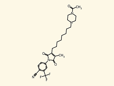 CC(=O)N1CCN(CCCCCCCCC2=C(C)C(=O)N(c3ccc(C#N)c(C(F)(F)F)c3)C2=O)CC1